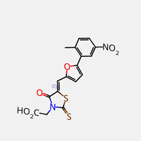 Cc1ccc([N+](=O)[O-])cc1-c1ccc(/C=C2\SC(=S)N(CC(=O)O)C2=O)o1